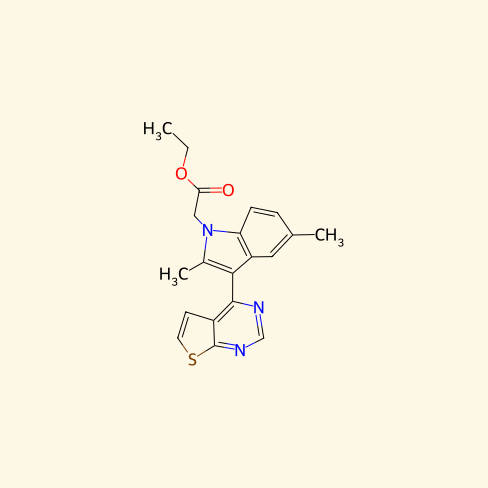 CCOC(=O)Cn1c(C)c(-c2ncnc3sccc23)c2cc(C)ccc21